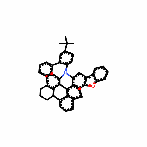 CC(C)(C)c1ccc(N(c2ccc3oc4ccccc4c3c2)c2ccccc2-c2cccc3cccc(C4CCCCC4)c23)c(-c2ccccc2)c1